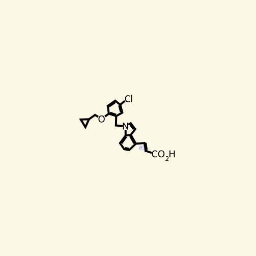 O=C(O)/C=C/c1cccc2c1ccn2Cc1cc(Cl)ccc1OCC1CC1